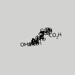 CON=C(C(=O)NC1C(=O)N2CC(CSc3nnnn3CC(=O)O)(C(=O)O)CS[C@H]12)c1cccc(NC=O)n1